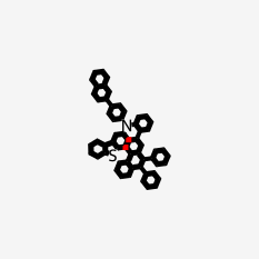 c1ccc(-c2c(-c3ccccc3)c3cc(-c4ccccc4N(c4ccc(-c5ccc6ccccc6c5)cc4)c4ccc5sc6ccccc6c5c4)ccc3c3ccccc23)cc1